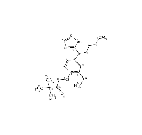 CCCCC(c1ccc(OCC(=O)C(C)(C)C)c(CC)c1)c1cccs1